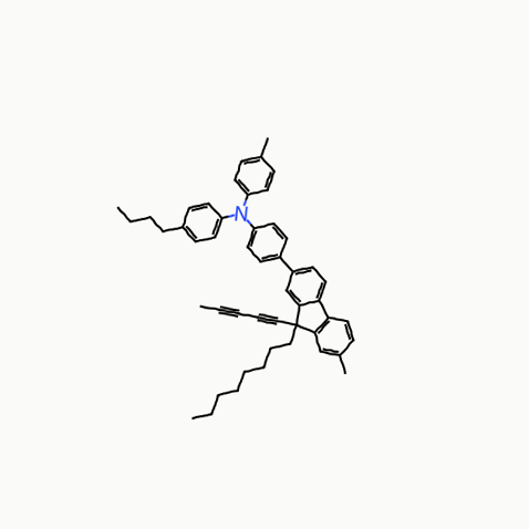 CC#CC#CC1(CCCCCCCC)c2cc(C)ccc2-c2ccc(-c3ccc(N(c4ccc(C)cc4)c4ccc(CCCC)cc4)cc3)cc21